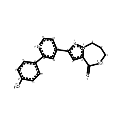 O=C1NCCCn2nc(-c3ccnc(-c4ccc(O)cc4)c3)cc21